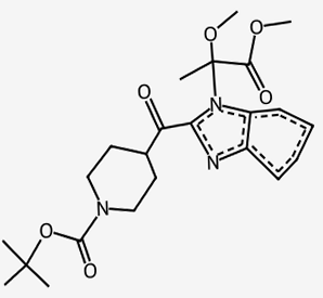 COC(=O)C(C)(OC)n1c(C(=O)C2CCN(C(=O)OC(C)(C)C)CC2)nc2ccccc21